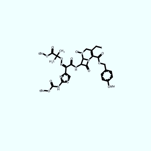 COc1ccc(COC(=O)C2=C(CI)C[S+]([O-])C3C(NC(=O)/C(=N\OC(C)(C)C(=O)OC(C)(C)C)c4csc(NC(=O)OC(C)(C)C)n4)C(=O)N23)cc1